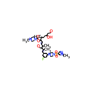 C/C(=C\c1cc(F)cc(N2CCN(S(=O)(=O)c3cnn(C)c3)CC2)c1)[C@@H](C=O)[C@@H](C)/C=C/[C@H](OC(=O)N1CCN(C)CC1)[C@@H](C)CC[C@@H](O)CC=O